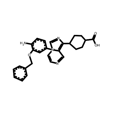 Nc1ccc([N+]23C=CN=CC2=C(C2CCC(C(=O)O)CC2)N=C3)cc1OCc1ccccc1